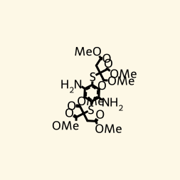 COC(=O)CC(Sc1cc(N)c(SC(CC(=O)OC)(C(=O)OC)C(=O)OC)cc1N)(C(=O)OC)C(=O)OC